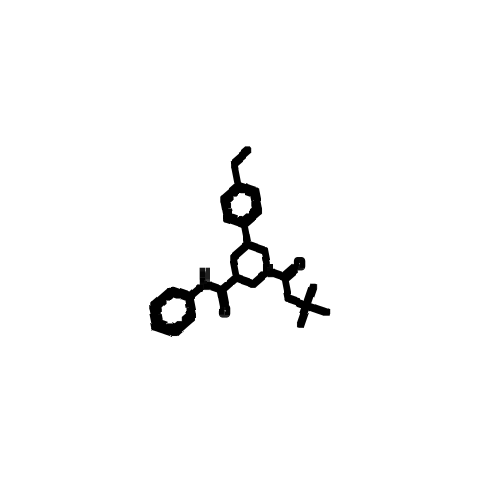 CCc1ccc(C2CC(C(=O)Nc3ccccc3)CN(C(=O)CC(C)(C)C)C2)cc1